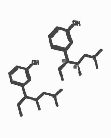 CCC(c1cccc(O)c1)C(C)CN(C)C.CC[C@@H](c1cccc(O)c1)[C@@H](C)CN(C)C